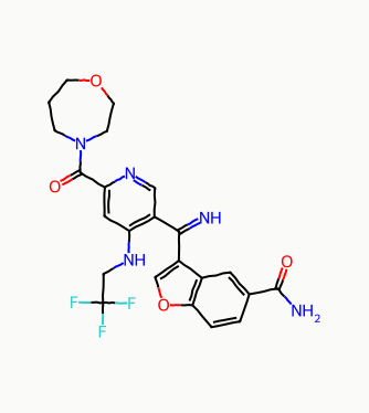 N=C(c1cnc(C(=O)N2CCCOCC2)cc1NCC(F)(F)F)c1coc2ccc(C(N)=O)cc12